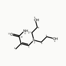 CC(=CN(CCO)CCO)C(N)=O